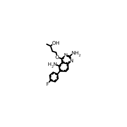 CC(O)CCOc1nc(N)nc2ccc(-c3ccc(F)cc3)c(N)c12